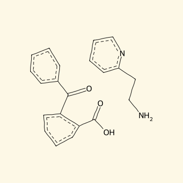 NCCc1ccccn1.O=C(O)c1ccccc1C(=O)c1ccccc1